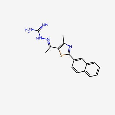 C/C(=N\NC(=N)N)c1sc(-c2ccc3ccccc3c2)nc1C